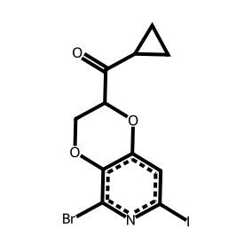 O=C(C1CC1)C1COc2c(cc(I)nc2Br)O1